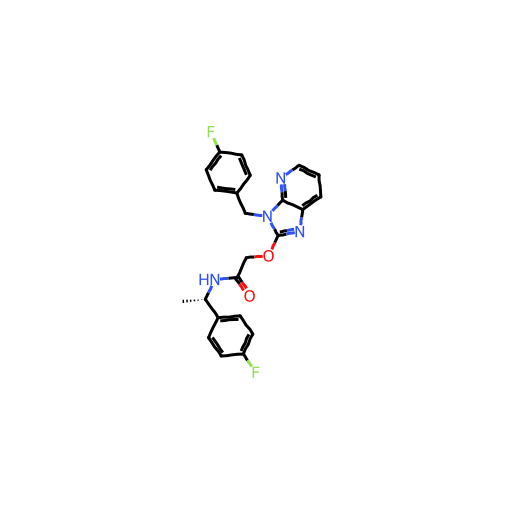 C[C@H](NC(=O)COc1nc2cccnc2n1Cc1ccc(F)cc1)c1ccc(F)cc1